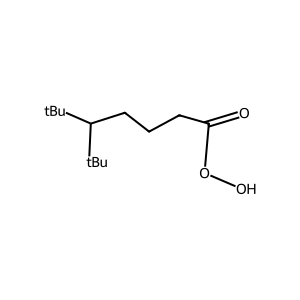 CC(C)(C)C(CCCC(=O)OO)C(C)(C)C